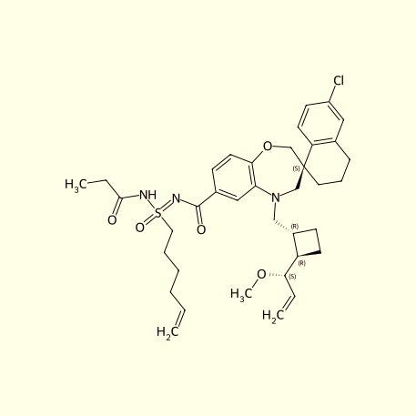 C=CCCCCS(=O)(=NC(=O)c1ccc2c(c1)N(C[C@@H]1CC[C@H]1[C@H](C=C)OC)C[C@@]1(CCCc3cc(Cl)ccc31)CO2)NC(=O)CC